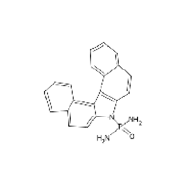 NP(N)(=O)n1c2ccc3ccccc3c2c2c3ccccc3ccc21